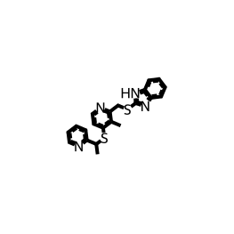 Cc1c(SC(C)c2ccccn2)ccnc1CSc1nc2ccccc2[nH]1